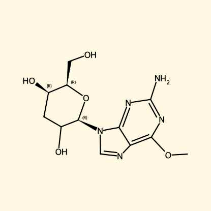 COc1nc(N)nc2c1ncn2[C@@H]1O[C@H](CO)[C@H](O)CC1O